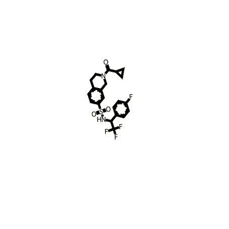 O=C(C1CC1)N1CCc2ccc(S(=O)(=O)NC(c3ccc(F)cc3)C(F)(F)F)cc2C1